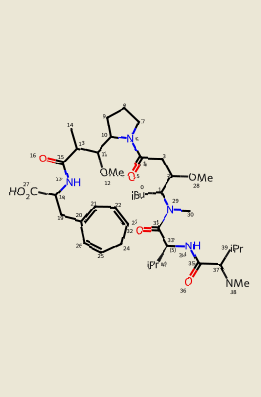 CCC(C)C(C(CC(=O)N1CCCC1C(OC)C(C)C(=O)NC(CC1=CC=CCC=C1)C(=O)O)OC)N(C)C(=O)[C@@H](NC(=O)C(NC)C(C)C)C(C)C